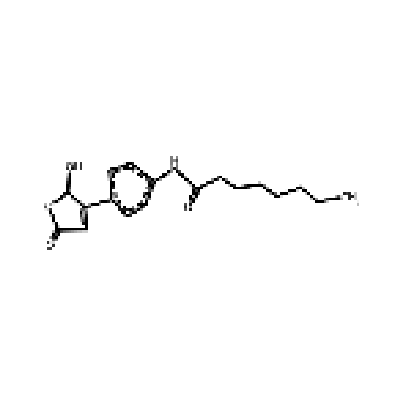 CCCCCCCC(=O)Nc1ccc(C2=CC(=O)OC2O)cc1